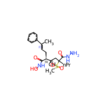 CCCC(C[C@@H](C)[C@H](C/C=C(\C)c1ccccc1)C(=O)NO)(C(=O)NN)S(C)(=O)=O